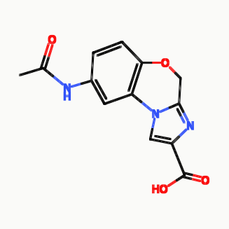 CC(=O)Nc1ccc2c(c1)-n1cc(C(=O)O)nc1CO2